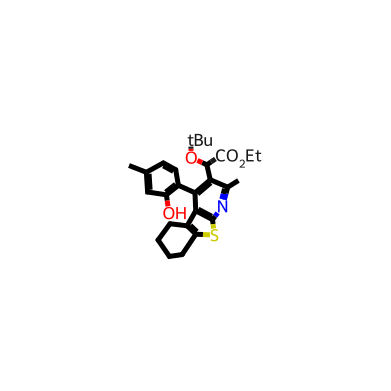 CCOC(=O)C(OC(C)(C)C)c1c(C)nc2sc3c(c2c1-c1ccc(C)cc1O)CCCC3